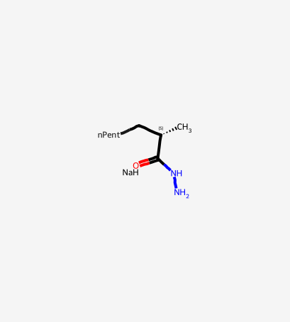 CCCCCC[C@H](C)C(=O)NN.[NaH]